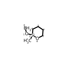 BO[Si]1(C)CCCCO1